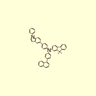 CC1(C)c2ccccc2-c2ccc(N(c3ccc(-c4ccc5c(ccn5-c5ccccc5)c4)cc3)c3ccc(-c4cccc5ccccc45)cc3)cc21